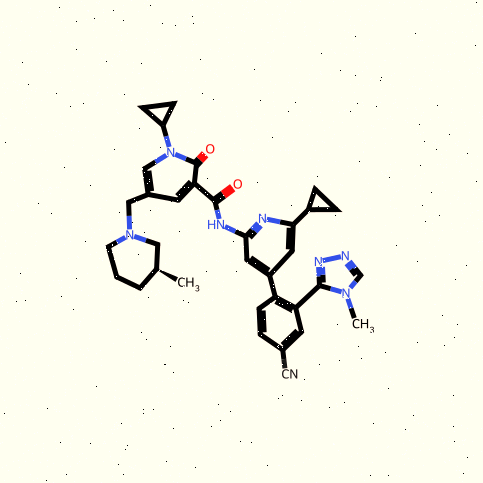 C[C@H]1CCCN(Cc2cc(C(=O)Nc3cc(-c4ccc(C#N)cc4-c4nncn4C)cc(C4CC4)n3)c(=O)n(C3CC3)c2)C1